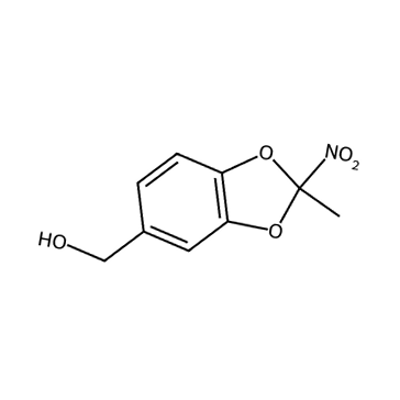 CC1([N+](=O)[O-])Oc2ccc(CO)cc2O1